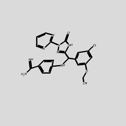 CCc1cc(OCC#N)cc(C(Nc2ccc(C(=N)N)cc2)c2nn(-c3ncccn3)c(=O)[nH]2)c1